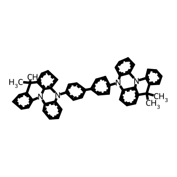 CC1(C)c2ccccc2N2c3ccccc3N(c3ccc(-c4ccc(N5c6ccccc6N6c7ccccc7C(C)(C)c7cccc5c76)cc4)cc3)c3cccc1c32